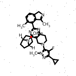 CO[C@H]1C[C@H]2CC[C@@H](C1)N2c1nc(-c2c(C)ccc3c2C(C)=NC3)nc2c1CN(c1c(F)c(C3CC3)nn1C)CC2